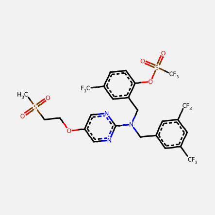 CS(=O)(=O)CCOc1cnc(N(Cc2cc(C(F)(F)F)cc(C(F)(F)F)c2)Cc2cc(C(F)(F)F)ccc2OS(=O)(=O)C(F)(F)F)nc1